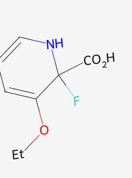 CCOC1=CC=CNC1(F)C(=O)O